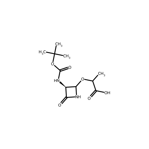 CC(OC1NC(=O)[C@H]1NC(=O)OC(C)(C)C)C(=O)O